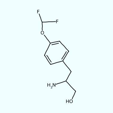 NC(CO)Cc1ccc(OC(F)F)cc1